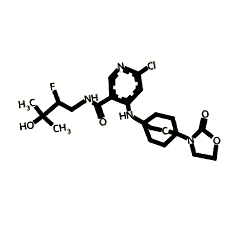 CC(C)(O)C(F)CNC(=O)c1cnc(Cl)cc1NC12CCC(N3CCOC3=O)(CC1)CC2